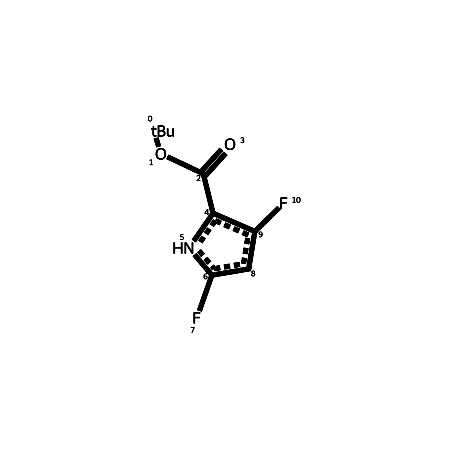 CC(C)(C)OC(=O)c1[nH]c(F)cc1F